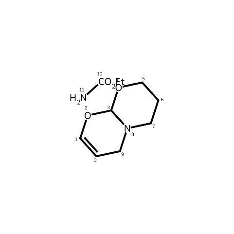 C1=COC2OCCCN2C1.CCOC(N)=O